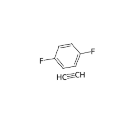 C#C.Fc1ccc(F)cc1